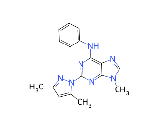 Cc1cc(C)n(-c2nc(Nc3ccccc3)c3ncn(C)c3n2)n1